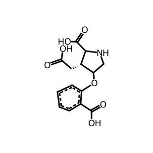 O=C(O)C[C@H]1C(Oc2ccccc2C(=O)O)CNC1C(=O)O